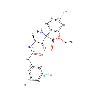 CCOC(=O)C(N)(C(=O)[C@H](C)NC(=O)Cc1cc(F)cc(F)c1)c1ccc(F)cc1